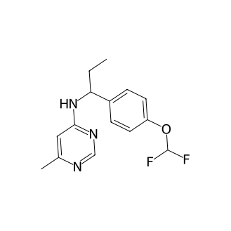 CCC(Nc1cc(C)ncn1)c1ccc(OC(F)F)cc1